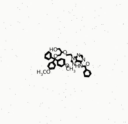 COc1ccc(C(OCC(CO)OCCn2cnc3c(NC(=O)c4ccccc4)ncnc32)(c2ccccc2)c2ccc(OC)cc2)cc1